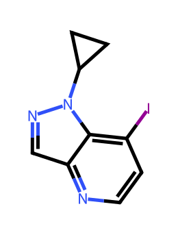 Ic1ccnc2cnn(C3CC3)c12